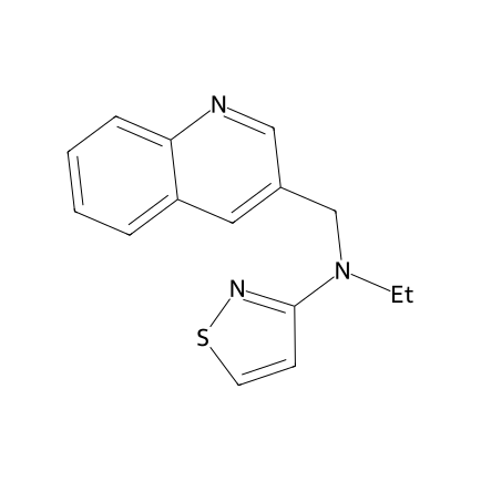 CCN(Cc1cnc2ccccc2c1)c1ccsn1